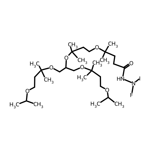 CC(C)OCCC(C)(C)OCC(COC(C)(C)CCOC(C)C)OC(C)(C)CCOC(C)(C)CCC(=O)NN(F)I